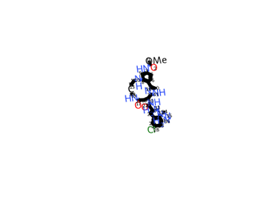 COC(=O)Nc1ccc2c(c1)NCCCCNC(=O)C[C@H](NC(=O)/C=C/c1cc(Cl)ccc1N(N)/C=N\N)c1nc-2c[nH]1